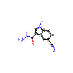 Cn1cc(C(=O)NN)c2cc(C#N)ccc21